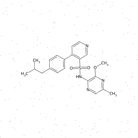 COc1nc(C)cnc1NS(=O)(=O)c1cnccc1-c1ccc(CC(C)C)cc1